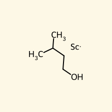 CC(C)CCO.[Sc]